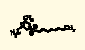 CCCCCCCCS(=O)(=O)N1CC(C)OC(C)C1